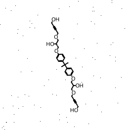 CC(C)(c1ccc(OCC(O)COCC#CCO)cc1)c1ccc(OCC(O)COCC#CCO)cc1